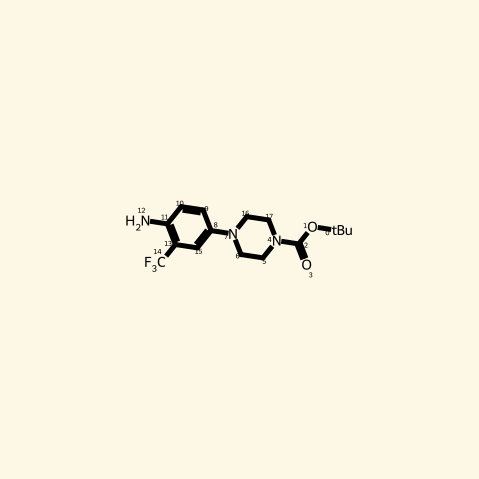 CC(C)(C)OC(=O)N1CCN(c2ccc(N)c(C(F)(F)F)c2)CC1